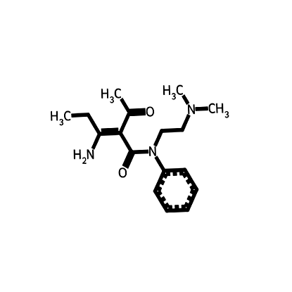 CC/C(N)=C(\C(C)=O)C(=O)N(CCN(C)C)c1ccccc1